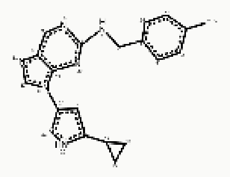 Fc1ccc(CNc2ncc3ncn(-c4cc(C5CC5)[nH]n4)c3n2)cc1